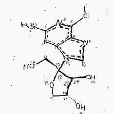 COc1nc(N)nc2c1ncn2[C@@]1(CO)OC[C@@H](O)[C@@H]1O